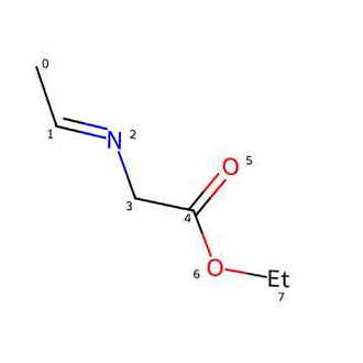 CC=NCC(=O)OCC